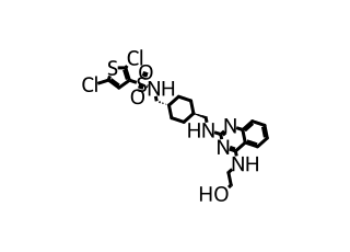 O=S(=O)(NC[C@H]1CC[C@H](CNc2nc(NCCO)c3ccccc3n2)CC1)c1cc(Cl)sc1Cl